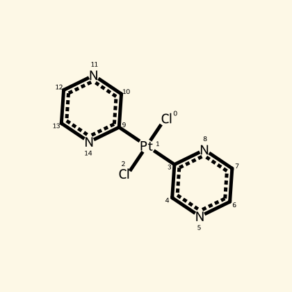 [Cl][Pt]([Cl])([c]1cnccn1)[c]1cnccn1